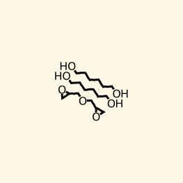 C(OCC1CO1)C1CO1.OCCCCCCO.OCCCCCCO